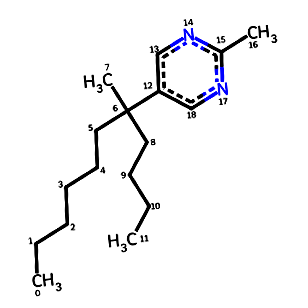 CCCCCCC(C)(CCCC)c1cnc(C)nc1